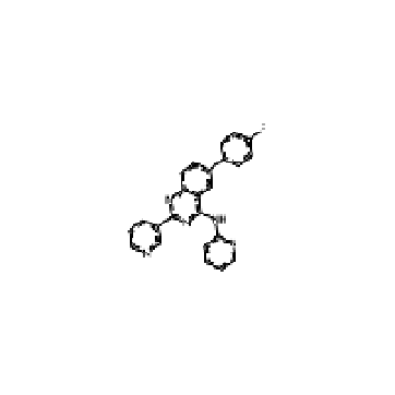 Fc1ccc(-c2ccc3nc(-c4cccnc4)nc(Nc4ccccn4)c3c2)cc1